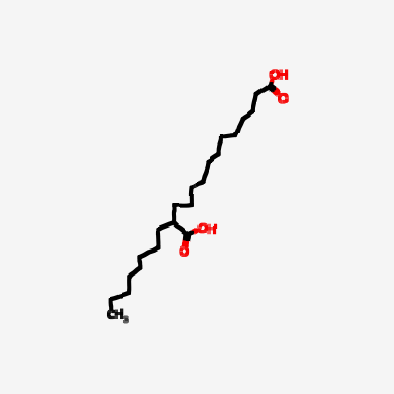 CCCCCCCCC(CCCCCCCCCCCC(=O)O)C(=O)O